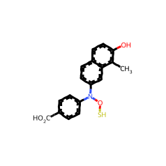 Cc1c(O)ccc2ccc(N(OS)c3ccc(C(=O)O)cc3)cc12